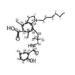 CCCCCCN1CCc2c(C)c(C(=O)O)c(C)c(CC(C)(C)CNC(=O)c3ccccc3O)c21